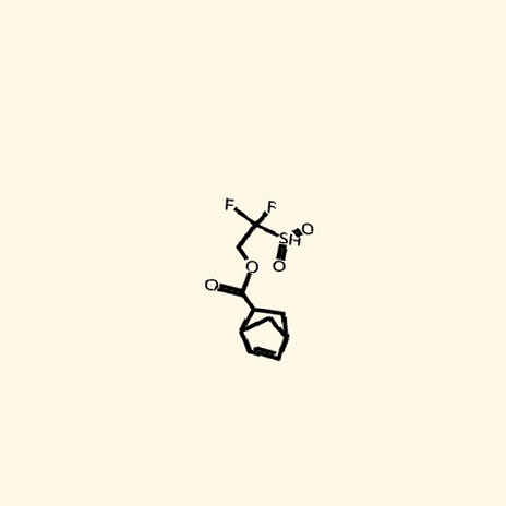 O=C(OCC(F)(F)[SH](=O)=O)C1CC2C=CC1C2